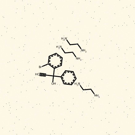 C#CC(O)(c1ccccc1)c1ccccc1Br.NCCN.NCCN.NCCN